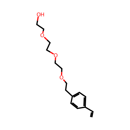 C=Cc1ccc(CCOCCOCCOCCO)cc1